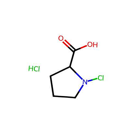 Cl.O=C(O)C1CCCN1Cl